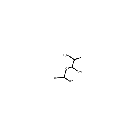 CC(C)C(OC(O)C(C)N)C(C)C